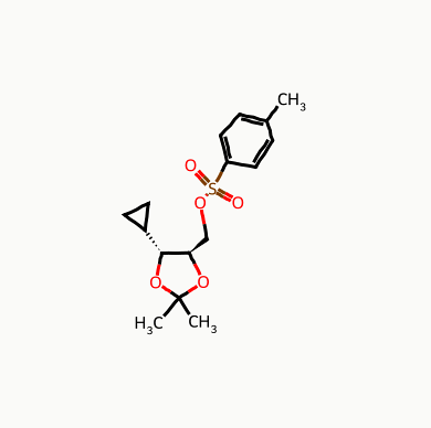 Cc1ccc(S(=O)(=O)OC[C@H]2OC(C)(C)O[C@@H]2C2CC2)cc1